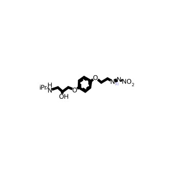 CC(C)NCC(O)COc1ccc(OCC/N=N/[N+](=O)[O-])cc1